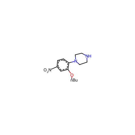 CCCCOc1cc([N+](=O)[O-])ccc1N1CCNCC1